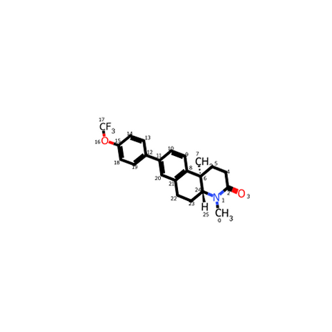 CN1C(=O)CC[C@]2(C)c3ccc(-c4ccc(OC(F)(F)F)cc4)cc3CC[C@@H]12